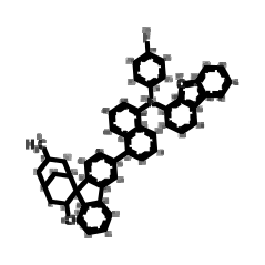 CC1CC2CC(C)C3(c4ccccc4-c4cc(-c5cccc6c(N(c7ccc(F)cc7)c7cccc8c7oc7ccccc78)cccc56)ccc43)C(C1)C2